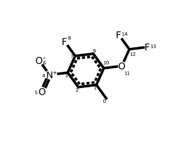 Cc1cc([N+](=O)[O-])c(F)cc1OC(F)F